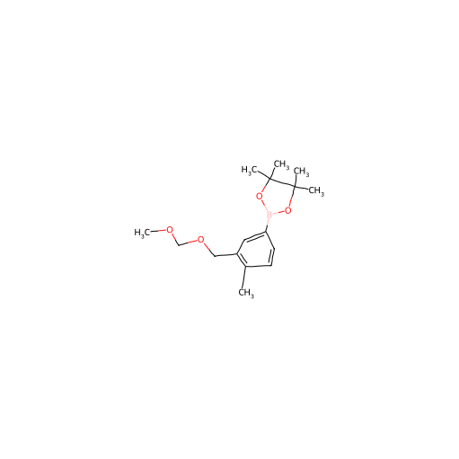 COCOCc1cc(B2OC(C)(C)C(C)(C)O2)ccc1C